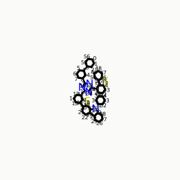 c1ccc(-c2cccc(-c3nc(-c4cccc5c4sc4c5ccc5c6ccccc6n(-c6ccccc6)c54)nc(-c4cccc5sc6ccccc6c45)n3)c2)cc1